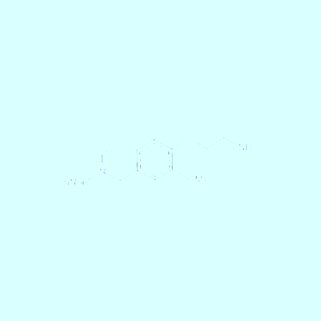 CCCCCCCCCN(Cc1ccc(OCCN)c(OC)c1)C(=O)O